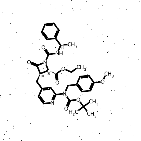 CCOC(=O)[C@@H]1[C@@H](Cc2ccnc(N(Cc3ccc(OC)cc3)C(=O)OC(C)(C)C)c2)C(=O)N1C(=O)N[C@H](C)c1ccccc1